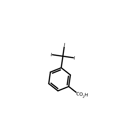 O=C(O)c1cccc(C(I)(I)I)c1